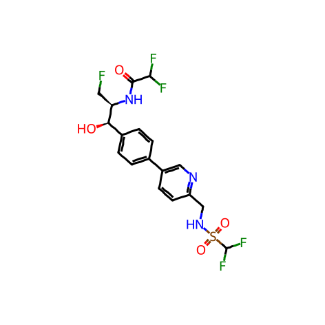 O=C(N[C@H](CF)[C@H](O)c1ccc(-c2ccc(CNS(=O)(=O)C(F)F)nc2)cc1)C(F)F